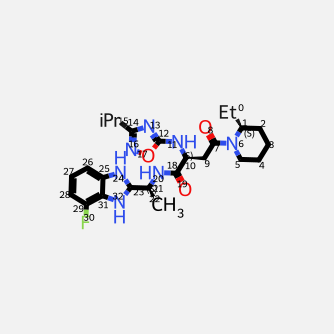 CC[C@H]1CCCCN1C(=O)C[C@H](Nc1nc(C(C)C)no1)C(=O)N[C@@H](C)C1Nc2cccc(F)c2N1